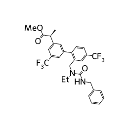 CCN(Cc1cc(C(F)(F)F)ccc1-c1cc([C@H](C)C(=O)OC)cc(C(F)(F)F)c1)C(=O)NCc1ccccc1